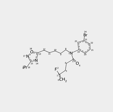 C=C(F)CCC(=O)N(CCCCCc1nc(C(C)C)no1)c1cccc(Br)c1